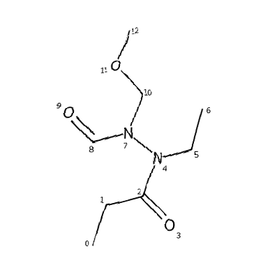 CCC(=O)N(CC)N(C=O)COC